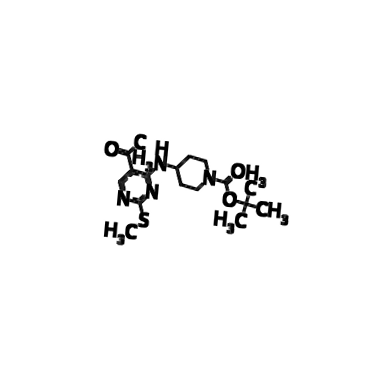 CSc1ncc(C(C)=O)c(NC2CCN(C(=O)OC(C)(C)C)CC2)n1